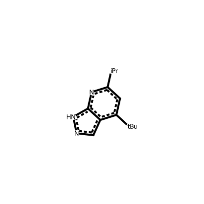 CC(C)c1cc(C(C)(C)C)c2cn[nH]c2n1